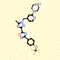 Cc1nc(-c2nc(-c3ccc(OC(F)(F)F)cc3)no2)nn1Cc1ccnc(N2CCNCC2)c1